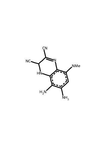 CNc1cc(N)c(N)c2c1N=C(C#N)C(C#N)N2